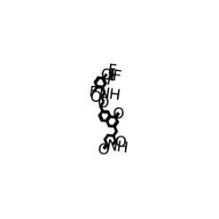 O=C1CCC(CC2=CC(=O)c3cc(COC(=O)Nc4cc(OC(F)(F)F)ccc4F)ccc3C2)C(=O)N1